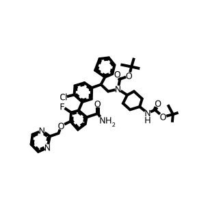 CC(C)(C)OC(=O)NC1CCC(N(CC(c2ccccc2)c2ccc(Cl)c(-c3c(C(N)=O)ccc(OCc4ncccn4)c3F)c2)C(=O)OC(C)(C)C)CC1